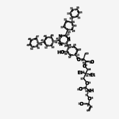 C=CC(=O)OCNC(=O)OCC(CC)(CC)COC(=O)C(C)Oc1ccc(-c2nc(-c3ccc(-c4ccccc4)cc3)nc(-c3ccc(-c4ccccc4)cc3)n2)c(O)c1